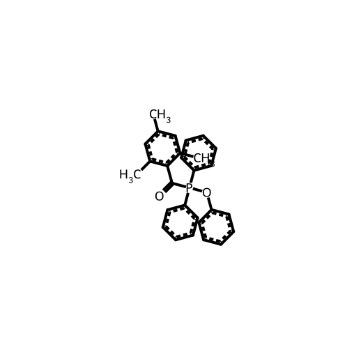 Cc1cc(C)c(C(=O)[P](Oc2ccccc2)(c2ccccc2)c2ccccc2)c(C)c1